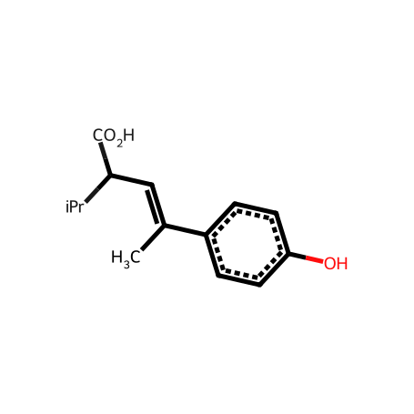 C/C(=C\C(C(=O)O)C(C)C)c1ccc(O)cc1